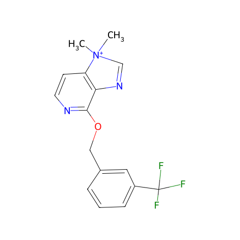 C[N+]1(C)C=Nc2c1ccnc2OCc1cccc(C(F)(F)F)c1